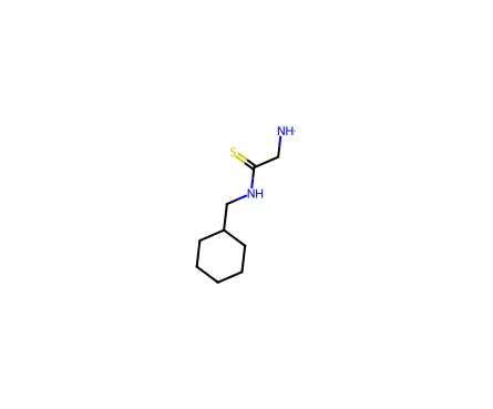 [NH]CC(=S)NCC1CCCCC1